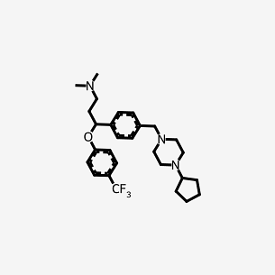 CN(C)CCC(Oc1ccc(C(F)(F)F)cc1)c1ccc(CN2CCN(C3CCCC3)CC2)cc1